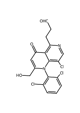 O=CCCc1ncc(Cl)c2c1c(=O)cc(CO)n2-c1c(Cl)cccc1Cl